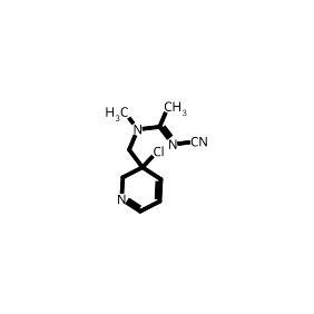 CC(=NC#N)N(C)CC1(Cl)C=CC=NC1